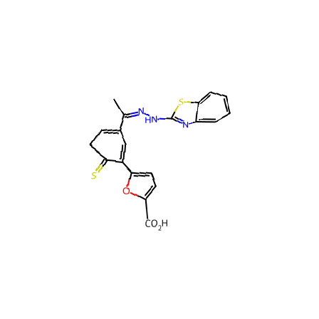 CC(=NNc1nc2ccccc2s1)C1=CCC(=S)C(c2ccc(C(=O)O)o2)=C1